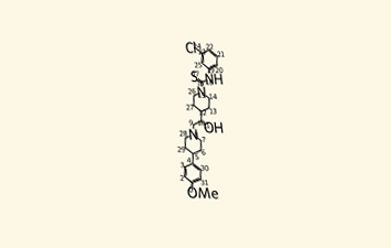 COc1ccc(C2CCN(CC(O)C3CCN(C(=S)Nc4cccc(Cl)c4)CC3)CC2)cc1